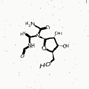 N=C(NC=O)N(C(N)=O)[C@@H]1O[C@H](CO)[C@@H](O)[C@H]1O